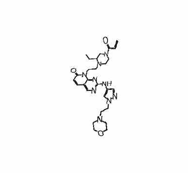 C=CC(=O)N1CCN(CCn2c(=O)ccc3cnc(Nc4cnn(CCN5CCOCC5)c4)nc32)[C@@H](CC)C1